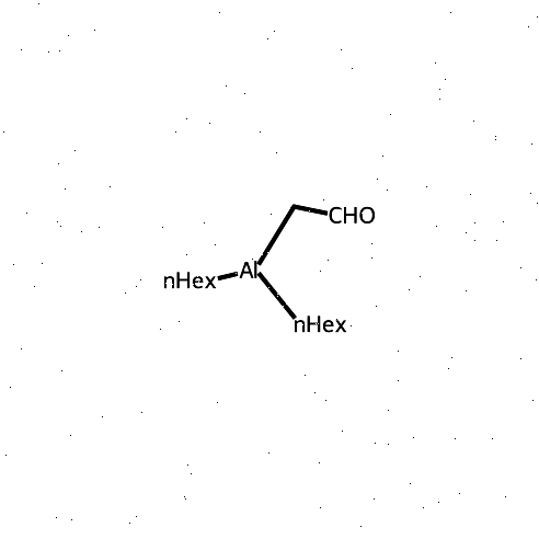 CCCCC[CH2][Al]([CH2]C=O)[CH2]CCCCC